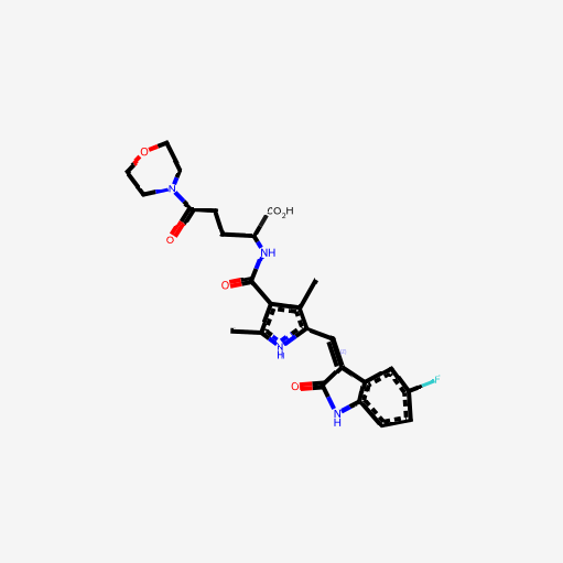 Cc1[nH]c(/C=C2\C(=O)Nc3ccc(F)cc32)c(C)c1C(=O)NC(CCC(=O)N1CCOCC1)C(=O)O